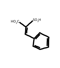 O=C(O)C(=Cc1ccccc1)S(=O)(=O)O